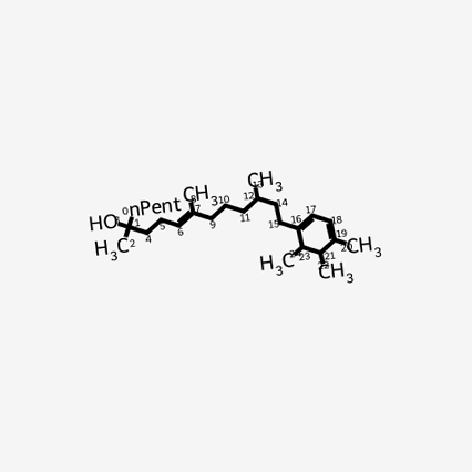 CCCCCC(C)(O)CC/C=C(\C)CCCC(C)CCC1=CC=C(C)C(C)C1C